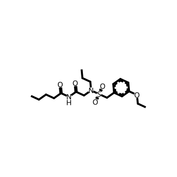 CCCCC(=O)NC(=O)CN(CCC)S(=O)(=O)Cc1cccc(OCC)c1